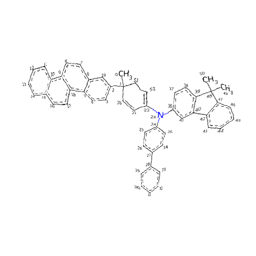 CC1(c2ccc3c(ccc4c5ccccc5ccc34)c2)C=CC(N(c2ccc(-c3ccccc3)cc2)c2ccc3c(c2)-c2ccccc2C3(C)C)=CC1